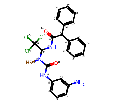 Nc1cccc(NC(=O)N(S)C(NC(=O)C(c2ccccc2)c2ccccc2)C(Cl)(Cl)Cl)c1